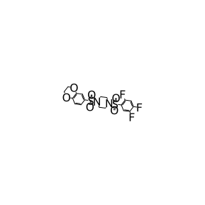 O=S(=O)(c1ccc2c(c1)OCCO2)N1CCN(S(=O)(=O)c2cc(F)c(F)cc2F)CC1